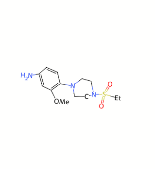 CCS(=O)(=O)N1CCN(c2ccc(N)cc2OC)CC1